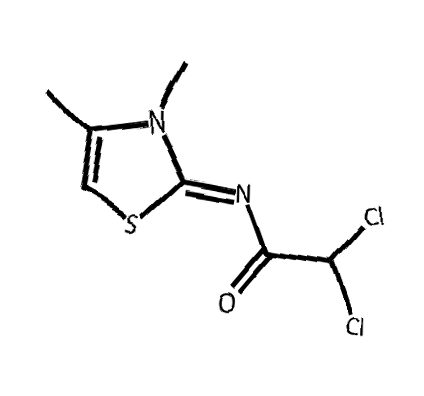 Cc1csc(=NC(=O)C(Cl)Cl)n1C